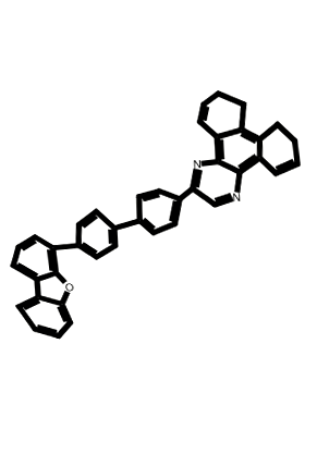 C1=Cc2c(c3c(c4nc(-c5ccc(-c6ccc(-c7cccc8c7oc7ccccc78)cc6)cc5)cnc24)C=CCC3)CC1